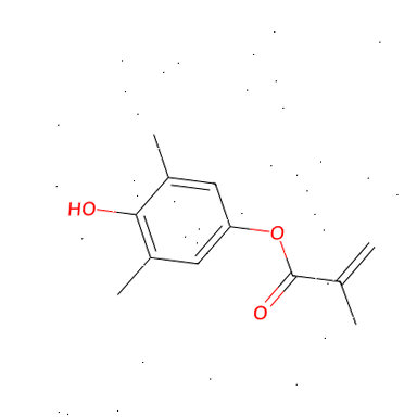 C=C(C)C(=O)Oc1cc(C)c(O)c(C)c1